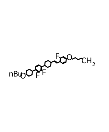 C=CCCCOc1ccc(/C=C/C2CCC(c3ccc(C4CCC(OCCCC)CC4)c(F)c3F)CC2)c(F)c1